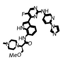 COC[C@H](C(=O)Nc1cccc2c(-c3nc(Nc4ccc(-n5ccnc5)nc4)ncc3F)c[nH]c12)N1CCN(C)CC1